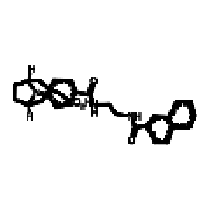 O=C(O)CC1C[C@H]2CC[C@@H](C1)N2c1ccc(C(=O)NCCNC(=O)c2ccc3ccccc3c2)cc1